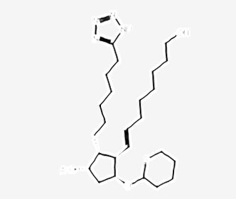 CC(=O)O[C@H]1C[C@H](OC2CCCCO2)[C@H](C=CCCCCCCO)[C@H]1CCCCCCc1nnn[nH]1